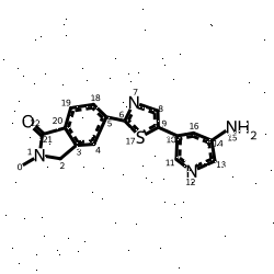 CN1Cc2cc(-c3ncc(-c4cncc(N)c4)s3)ccc2C1=O